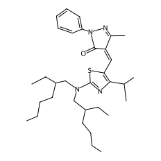 CCCCC(CC)CN(CC(CC)CCCC)c1nc(C(C)C)c(/C=C2\C(=O)N(c3ccccc3)N=C2C)s1